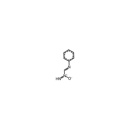 N=[N+]([O-])C=Nc1ccccc1